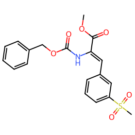 COC(=O)/C(=C/c1cccc(S(C)(=O)=O)c1)NC(=O)OCc1ccccc1